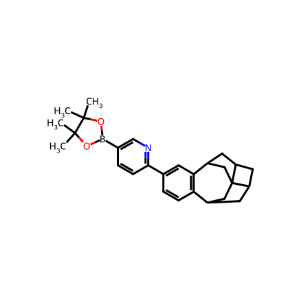 CC1(C)OB(c2ccc(-c3ccc4c(c3)C3CC5CC6CC4CC65C3)nc2)OC1(C)C